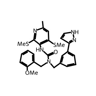 COc1ccccc1CN(Cc1cccc(-c2cc[nH]n2)c1)C(=O)Nc1c(SC)cc(C)nc1SC